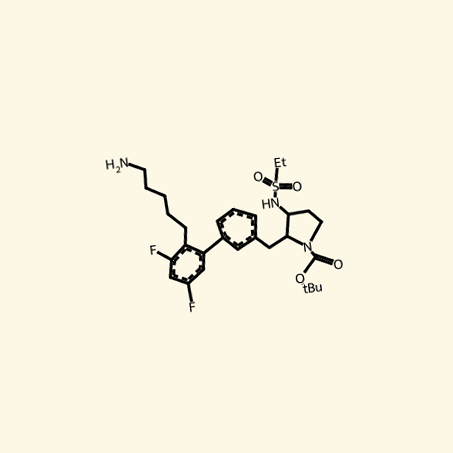 CCS(=O)(=O)NC1CCN(C(=O)OC(C)(C)C)C1Cc1cccc(-c2cc(F)cc(F)c2CCCCCN)c1